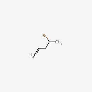 C=CCC(C)Br